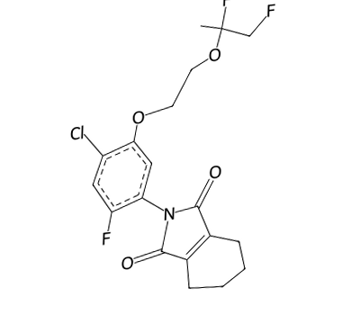 CC(F)(CF)OCCOc1cc(N2C(=O)C3=C(CCCC3)C2=O)c(F)cc1Cl